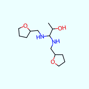 CC(O)C(NCC1CCCO1)NCC1CCCO1